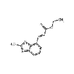 CCOC(=O)/C=C/c1cccn2nc(C)nc12